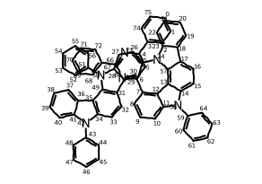 c1ccc(-c2cc(-c3cccc4c3c3c(ccc5c6ccccc6n(-c6ccc7c(c6)c6ccc8c(c9ccccc9n8-c8ccccc8)c6n7-c6ccccc6)c53)n4-c3ccccc3)nc(-c3ccccc3)n2)cc1